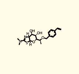 C=Cc1ccc(CO[C@@H](C)[C@H]2O[C@@H]3SC(N(C)C)=N[C@@H]3[C@@H](O)[C@@H]2O)cc1